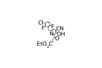 CCOC(=O)CCC(=O)c1nc(Cc2c(F)ccc(Cl)c2F)cc(C#N)c1O